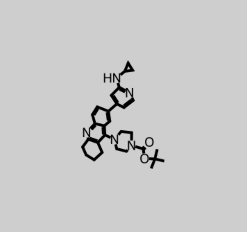 CC(C)(C)OC(=O)N1CCN(c2c3c(nc4ccc(-c5ccnc(NC6CC6)c5)cc24)CCCC3)CC1